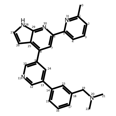 Cc1cccc(-c2cc(-c3cncc(-c4cccc(CN(C)C)c4)c3)c3cc[nH]c3n2)n1